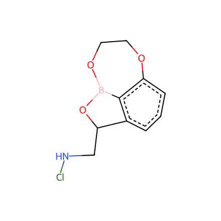 ClNCC1OB2OCCOc3cccc1c32